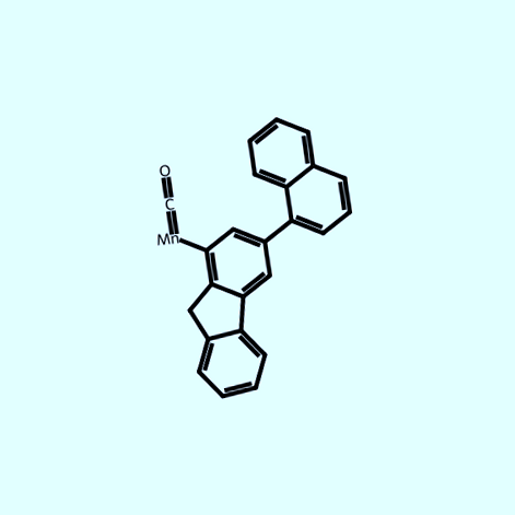 O=[C]=[Mn][c]1cc(-c2cccc3ccccc23)cc2c1Cc1ccccc1-2